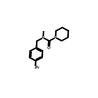 CC(C)c1ccc(CN(C)C(=O)N2CCCCC2)cc1